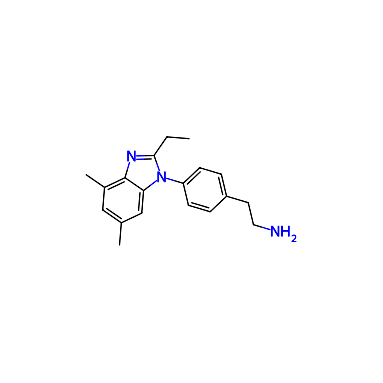 CCc1nc2c(C)cc(C)cc2n1-c1ccc(CCN)cc1